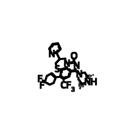 C[C@@H]1CN(c2nc(=O)n3c4c(c(C5=CCC(F)(F)CC5)c(C(F)(F)F)cc24)SCC(c2ccccn2)C3)C[C@H](C)N1